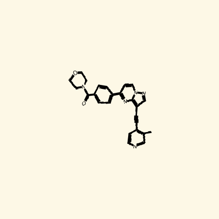 Cc1cnccc1C#Cc1cnn2ccc(-c3ccc(C(=O)N4CCOCC4)cc3)nc12